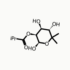 CC(C)C(=O)O[C@H]1[C@@H](O)[C@H](O)C(C)(C)O[C@H]1O